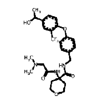 CC(O)c1ccc(Oc2ccc(CNC(=O)C3(NC(=O)CN(C)C)CCOCC3)cc2)c(C(F)(F)F)c1